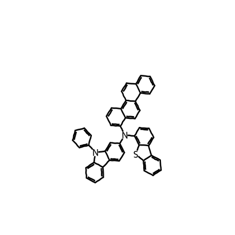 c1ccc(-n2c3ccccc3c3ccc(N(c4cccc5c4ccc4c6ccccc6ccc54)c4cccc5c4sc4ccccc45)cc32)cc1